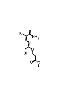 C=C(N)/C(Br)=C\N=C(/CBr)OCCC(=O)OC